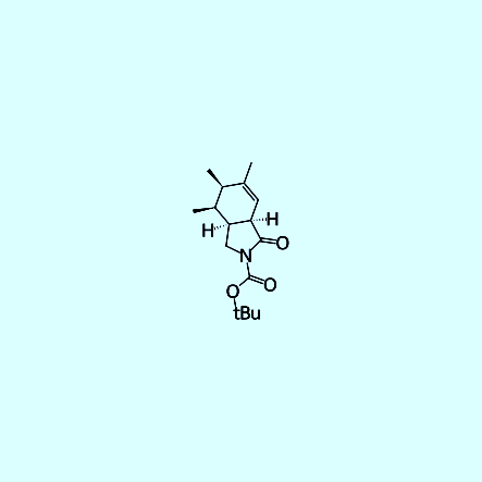 CC1=C[C@H]2C(=O)N(C(=O)OC(C)(C)C)C[C@H]2[C@@H](C)[C@H]1C